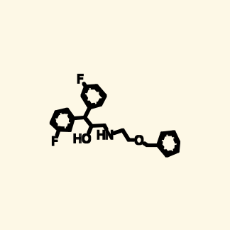 OC(CNCCOCc1ccccc1)C(c1cccc(F)c1)c1cccc(F)c1